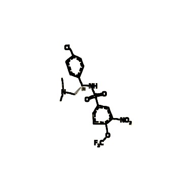 CN(C)C[C@@H](NS(=O)(=O)c1ccc(OC(F)(F)F)c([N+](=O)[O-])c1)c1ccc(Cl)cc1